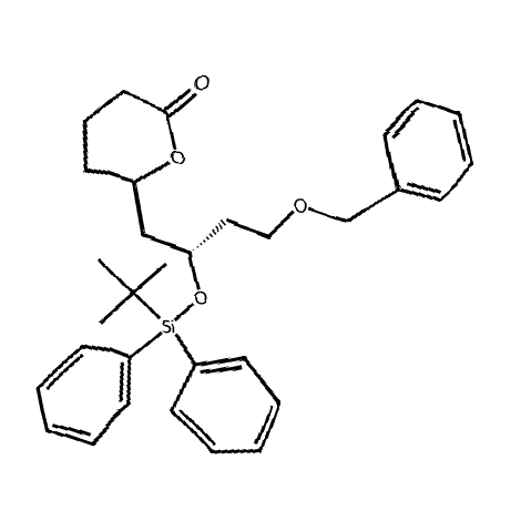 CC(C)(C)[Si](O[C@@H](CCOCc1ccccc1)CC1CCCC(=O)O1)(c1ccccc1)c1ccccc1